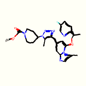 Cc1c(-c2cc(OC(C)c3ccc(F)cn3)n3c(C)cnc3c2)nnn1C1CCN(C(=O)OC(C)(C)C)CC1